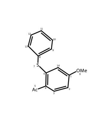 COc1ccc(C(C)=O)c(Sc2ccccc2)c1